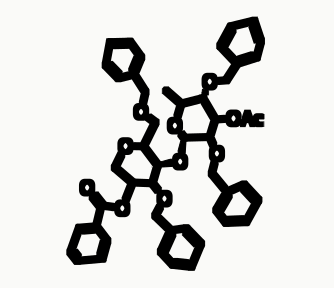 CC(=O)OC1C(OCc2ccccc2)[C@@H](O[C@@H]2C(COCc3ccccc3)OCC(OC(=O)c3ccccc3)C2OCc2ccccc2)OC(C)[C@@H]1OCc1ccccc1